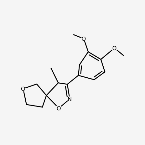 COc1ccc(C2=NOC3(CCOC3)C2C)cc1OC